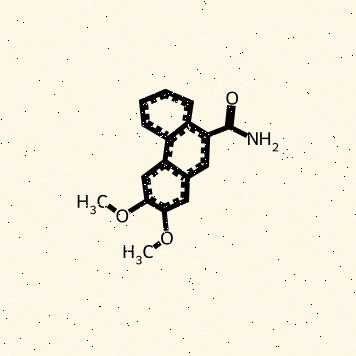 COc1cc2cc(C(N)=O)c3ccccc3c2cc1OC